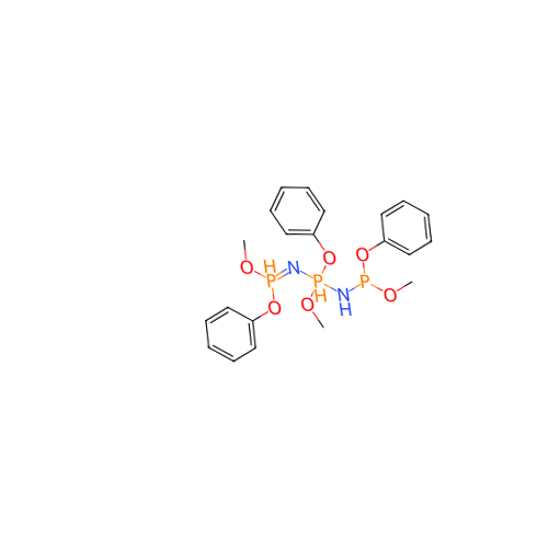 COP(N[PH](/N=[PH](/OC)Oc1ccccc1)(OC)Oc1ccccc1)Oc1ccccc1